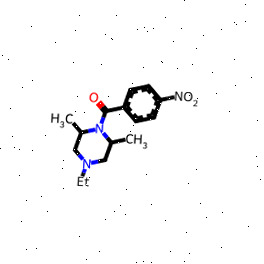 CCN1CC(C)N(C(=O)c2ccc([N+](=O)[O-])cc2)C(C)C1